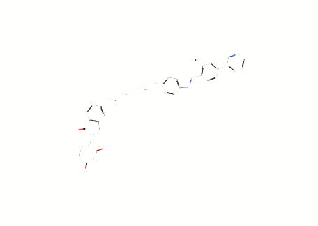 O=C1CCC(N2Cc3cc(OCCOCCOc4ccc5nc(-c6ccc(-c7cccnc7)cc6C(F)(F)F)sc5c4)ccc3C2=O)C(=O)N1